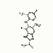 Cc1cc(I)ccc1Nc1c(C(=O)O)cc2nc(C(N)=O)[nH]c2c1F